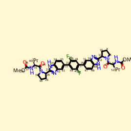 COC(=O)NC(C(=O)N1CCCC1c1nc2cc(-c3cc(F)c(-c4ccc5[nH]c(C6CCCN6C(=O)[C@@H](NC(=O)OC)C(C)C)nc5c4)cc3F)ccc2[nH]1)C(C)C